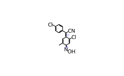 CC1=CC(=C(/C#N)c2ccc(Cl)cc2)/C(Cl)=CC/1=N\O